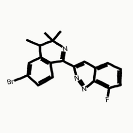 CC1c2cc(Br)ccc2C(c2cc3cccc(F)c3nn2)=NC1(C)C